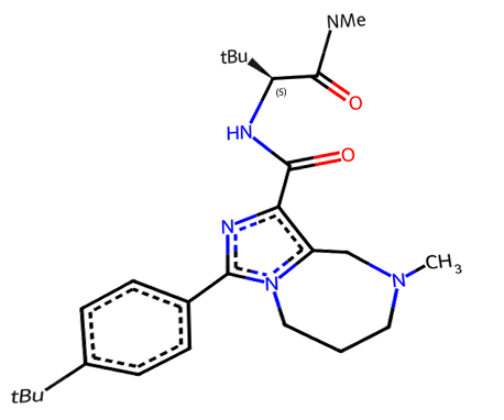 CNC(=O)[C@@H](NC(=O)c1nc(-c2ccc(C(C)(C)C)cc2)n2c1CN(C)CCC2)C(C)(C)C